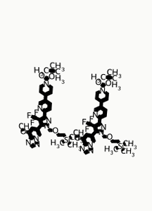 COc1cc(-c2c(C(F)(F)F)c(-c3ccc(C4=CCN(C(=O)OC(C)(C)C)CC4)cn3)nn2COCC[Si](C)(C)C)cn2ncnc12.COc1cc(-c2c(C(F)(F)F)c(-c3ccc(C4=CCN(C(=O)OC(C)(C)C)CC4)cn3)nn2COCC[Si](C)(C)C)cn2ncnc12